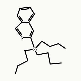 CCC[CH2][Sn]([CH2]CCC)([CH2]CCC)[c]1cc2ccccc2cn1